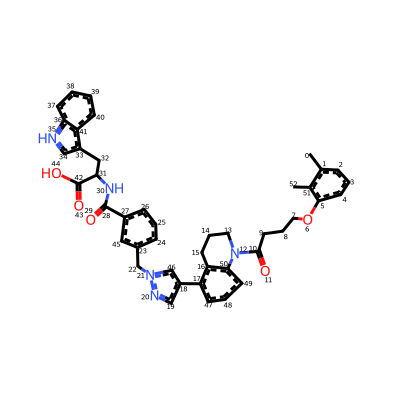 Cc1cccc(OCCCC(=O)N2CCCc3c(-c4cnn(Cc5cccc(C(=O)NC(Cc6c[nH]c7ccccc67)C(=O)O)c5)c4)cccc32)c1C